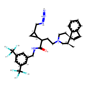 C[C@H]1CN(CCC(C(=O)NCc2cc(C(F)(F)F)cc(C(F)(F)F)c2)C2CC2CN=[N+]=[N-])CC[C@@]12C=Cc1ccccc12